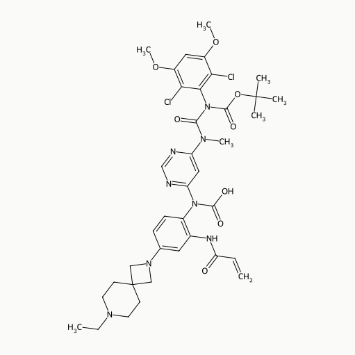 C=CC(=O)Nc1cc(N2CC3(CCN(CC)CC3)C2)ccc1N(C(=O)O)c1cc(N(C)C(=O)N(C(=O)OC(C)(C)C)c2c(Cl)c(OC)cc(OC)c2Cl)ncn1